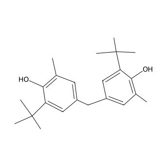 Cc1cc(Cc2cc(C)c(O)c(C(C)(C)C)c2)cc(C(C)(C)C)c1O